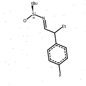 CCC(C=N[S@@+]([O-])C(C)(C)C)c1ccc(F)cc1